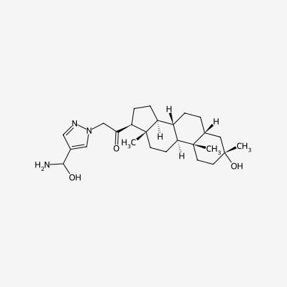 C[C@@]1(O)CC[C@@]2(C)[C@H](CC[C@@H]3[C@@H]2CC[C@]2(C)[C@@H](C(=O)Cn4cc(C(N)O)cn4)CC[C@@H]32)C1